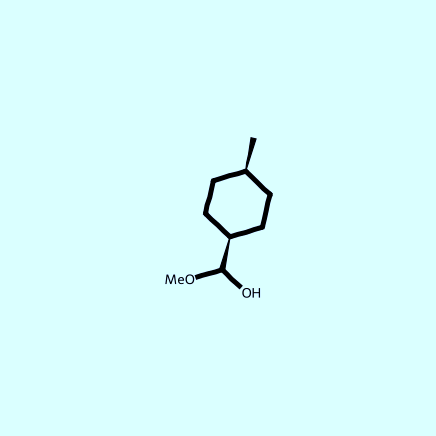 COC(O)[C@H]1CC[C@@H](C)CC1